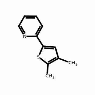 Cc1cc(-c2ccccn2)sc1C